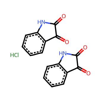 Cl.O=C1Nc2ccccc2C1=O.O=C1Nc2ccccc2C1=O